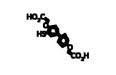 O=C(O)COc1ccc(-c2ccc(OCC(=O)O)c(S)c2)cc1